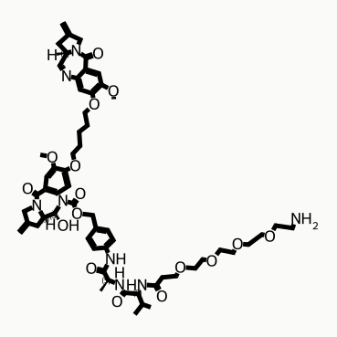 C=C1C[C@H]2C=Nc3cc(OCCCCCOc4cc5c(cc4OC)C(=O)N4CC(=C)C[C@H]4[C@H](O)N5C(=O)OCc4ccc(NC(=O)[C@H](C)NC(=O)[C@@H](NC(=O)CCOCCOCCOCCOCCN)C(C)C)cc4)c(OC)cc3C(=O)N2C1